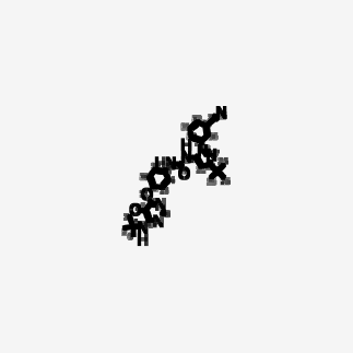 CC1(C)COc2c(ncnc2Oc2ccc(NC(=O)Nc3cc(C(C)(C)C)nn3-c3cccc(C#N)c3)cc2)N1